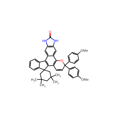 COc1ccc(C2(c3ccc(OC)cc3)C=Cc3c4c(c5cc6[nH]c(=O)[nH]c6cc5c3O2)-c2ccccc2C42CC(C)(C)CC(C)(C)C2)cc1